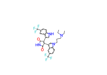 CCN(CC)CCCn1cc(C2=C(c3c[nH]c4ccc(C(F)(F)F)cc34)C(=O)NC2=O)c2cc(C(F)(F)F)ccc21